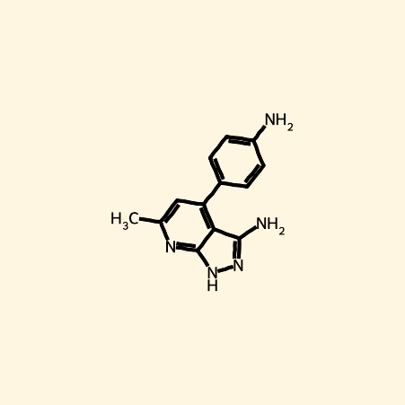 Cc1cc(-c2ccc(N)cc2)c2c(N)n[nH]c2n1